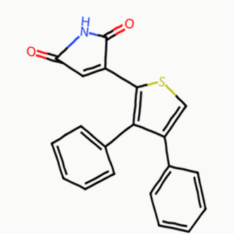 O=C1C=C(c2scc(-c3ccccc3)c2-c2ccccc2)C(=O)N1